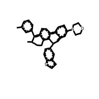 Cc1cccc(C2=c3ccc4c(c3CCC2C)C(c2ccc3sccc3c2)C=c2cc(N3CCOCC3)ccc2=4)c1